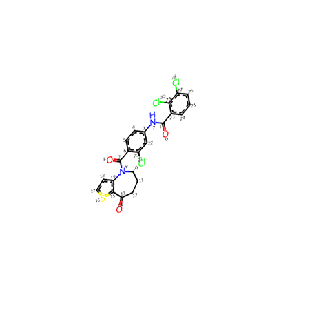 O=C(Nc1ccc(C(=O)N2CCCC(=O)c3sccc32)c(Cl)c1)c1cccc(Cl)c1Cl